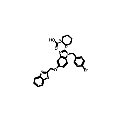 O=C(O)[C@H]1CCCC[C@@H]1c1nc2cc(OCc3nc4ccccc4s3)ccc2n1Cc1ccc(Br)cc1